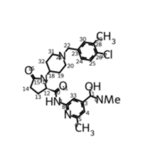 CNC(O)c1cc(C)nc(NC(=O)[C@H]2CCC(=O)N2C2CCN(Cc3ccc(Cl)c(C)c3)CC2)c1